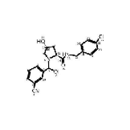 N#Cc1cccc(C(O)N2C[C@H](O)C[C@H]2C(=O)NCc2ccc(Cl)cc2)c1